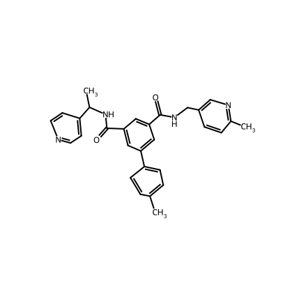 Cc1ccc(-c2cc(C(=O)NCc3ccc(C)nc3)cc(C(=O)NC(C)c3ccncc3)c2)cc1